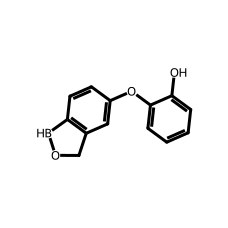 Oc1ccccc1Oc1ccc2c(c1)COB2